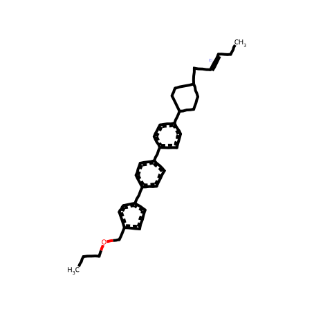 CC/C=C/CC1CCC(c2ccc(-c3ccc(-c4ccc(COCCC)cc4)cc3)cc2)CC1